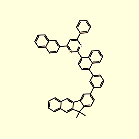 CC1(C)c2ccc(-c3cccc(-c4ccc(-c5nc(-c6ccccc6)cc(-c6ccc7ccccc7c6)n5)c5ccccc45)c3)cc2-c2cc3ccccc3cc21